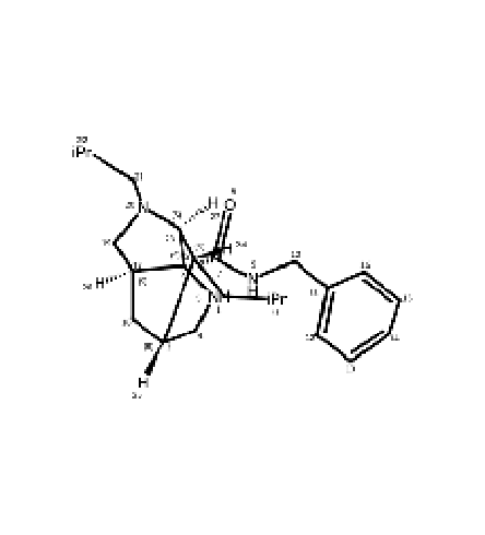 CC(C)C[C@@H]1[C@@H]2CN[C@@]3(C(=O)NCc4ccccc4)[C@@H](C2)CN(CC(C)C)[C@@H]13